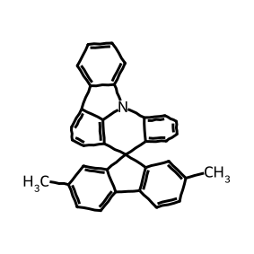 Cc1ccc2c(c1)C1(c3cc(C)ccc3-2)c2ccccc2-n2c3ccccc3c3cccc1c32